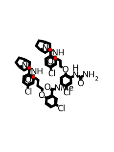 CNC(=O)c1cc(Cl)ccc1OCCCC(=O)NC1CC2CCC(C1)N2Cc1ccc(Cl)cc1.NC(=O)Nc1cc(Cl)ccc1OCCC(=O)NC1CC2CCC(C1)N2Cc1ccc(Cl)cc1